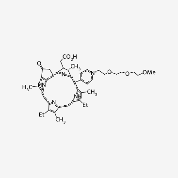 CCC1=C(C)c2cc3[nH]c(c(C)c3CC)c(-c3cc[n+](CCOCCOCCOC)cc3)c3nc(c4c5[nH]c(cc1n2)c(C)c5C(=O)C4)C(CC(=O)O)[C@@H]3C